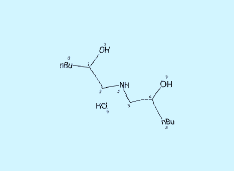 CCCCC(O)CNCC(O)CCCC.Cl